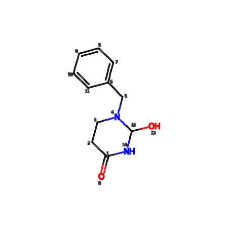 O=C1CCN(Cc2ccccc2)C(O)N1